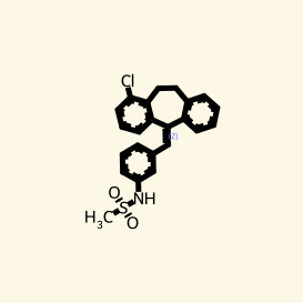 CS(=O)(=O)Nc1cccc(/C=C2/c3ccccc3CCc3c(Cl)cccc32)c1